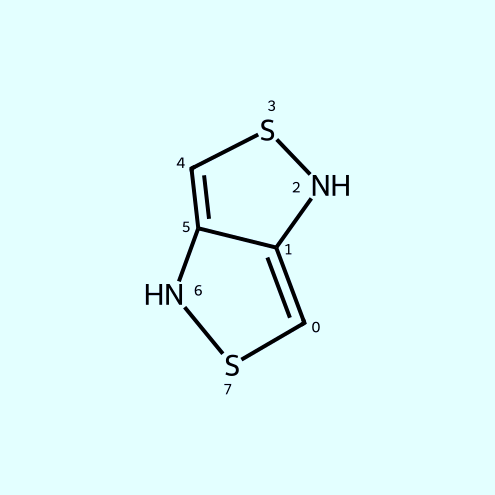 C1=C2NSC=C2NS1